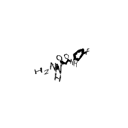 NNC(=O)CC(=O)Nc1cccc(F)c1